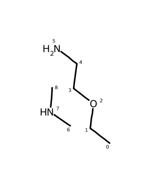 CCOCCN.CNC